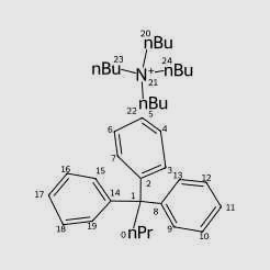 CCCC(c1ccccc1)(c1ccccc1)c1ccccc1.CCCC[N+](CCCC)(CCCC)CCCC